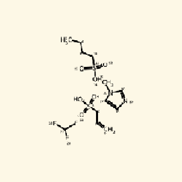 C=CCS(=O)(=O)O.CCCCS(=O)(=O)O.Cn1ccnc1.FC(F)F